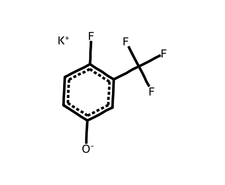 [K+].[O-]c1ccc(F)c(C(F)(F)F)c1